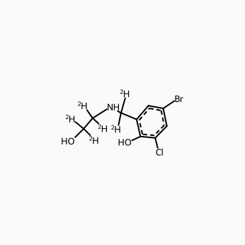 [2H]C([2H])(NC([2H])([2H])C([2H])([2H])O)c1cc(Br)cc(Cl)c1O